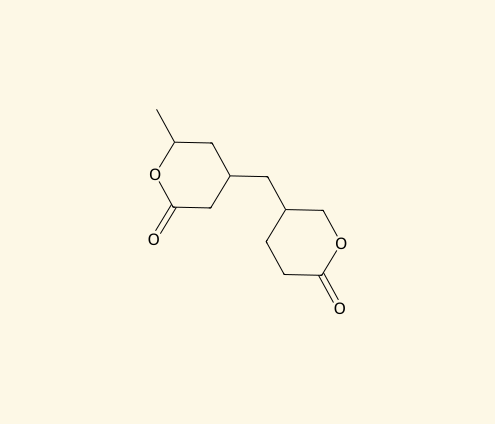 CC1CC(CC2CCC(=O)OC2)CC(=O)O1